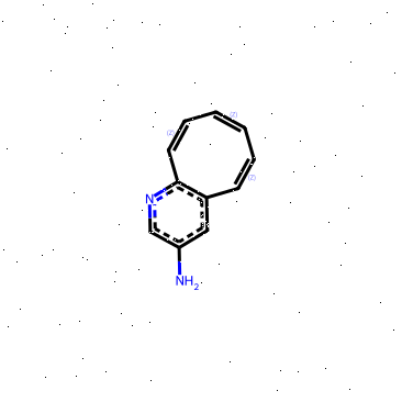 Nc1cnc2c(c1)\C=C/C=C\C=C/2